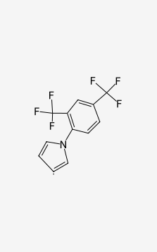 FC(F)(F)c1ccc(-n2c[c]cc2)c(C(F)(F)F)c1